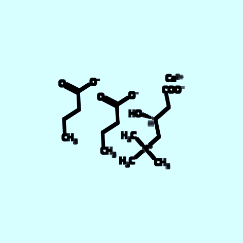 CCCC(=O)[O-].CCCC(=O)[O-].C[N+](C)(C)C[C@H](O)CC(=O)[O-].[Ca+2]